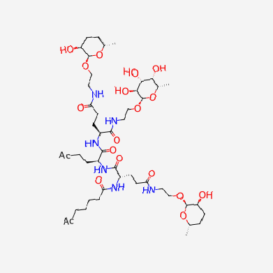 CC(=O)CCCCC(=O)N[C@@H](CCC(=O)NCCO[C@@H]1O[C@@H](C)CC[C@@H]1O)C(=O)N[C@@H](CCC(C)=O)C(=O)N[C@@H](CCC(=O)NCCO[C@@H]1O[C@@H](C)CC[C@@H]1O)C(=O)NCCO[C@@H]1O[C@@H](C)[C@@H](O)[C@@H](O)[C@@H]1O